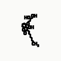 CCCCCCC=Cc1c(O)c2c(OCCC(O)CO)cccc2oc1=O